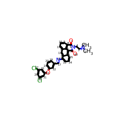 CN(C)CCN1C(=O)c2cccc3cc4c(/N=C/c5cccc(Oc6cc(Cl)cc(Cl)c6)c5)cccc4c(c23)C1=O